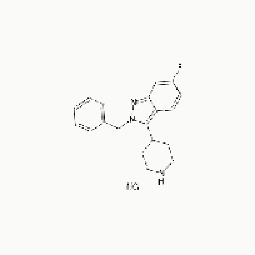 Cl.Fc1ccc2c(C3CCNCC3)n(Cc3ccccc3)nc2c1